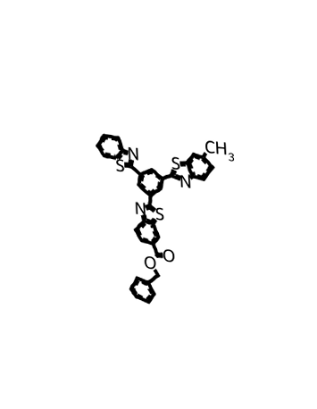 Cc1ccc2nc(-c3cc(-c4nc5ccccc5s4)cc(-c4nc5ccc(C(=O)OCc6ccccc6)cc5s4)c3)sc2c1